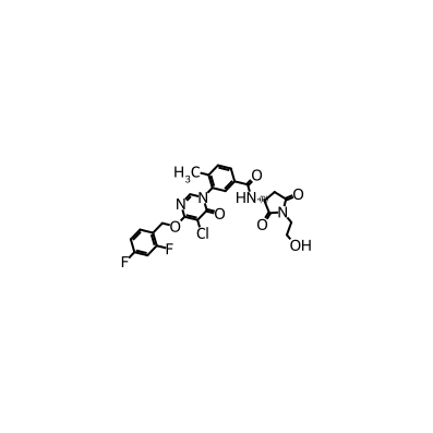 Cc1ccc(C(=O)N[C@@H]2CC(=O)N(CCO)C2=O)cc1-n1cnc(OCc2ccc(F)cc2F)c(Cl)c1=O